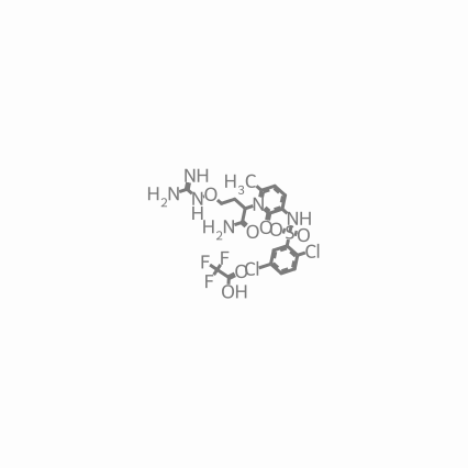 Cc1ccc(NS(=O)(=O)c2cc(Cl)ccc2Cl)c(=O)n1C(CCONC(=N)N)C(N)=O.O=C(O)C(F)(F)F